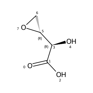 O=C(O)[C@H](O)[C@H]1CO1